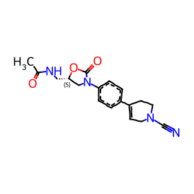 CC(=O)NC[C@H]1CN(c2ccc(C3=CCN(C#N)CC3)cc2)C(=O)O1